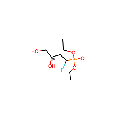 CCO[PH](O)(OCC)C(F)C[C@@H](O)CO